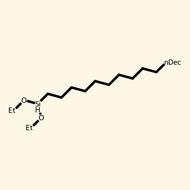 CCCCCCCCCCCCCCCCCCCC[SiH](OCC)OCC